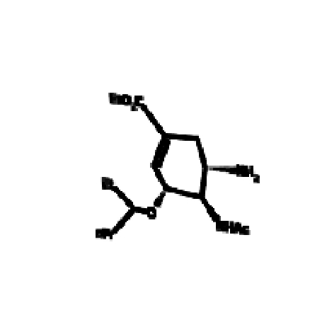 CCCC(CC)O[C@@H]1C=C(C(=O)OCC)C[C@H](N)[C@H]1NC(C)=O